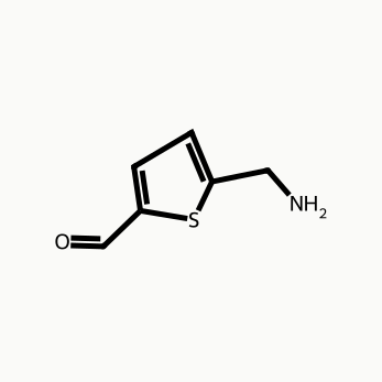 NCc1ccc(C=O)s1